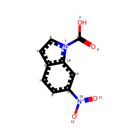 O=C(O)n1ccc2ccc([N+](=O)[O-])cc21